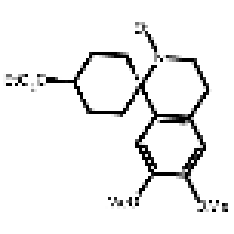 CCOC(=O)[C@H]1CC[C@]2(CC1)c1cc(OC)c(OC)cc1CCN2CC